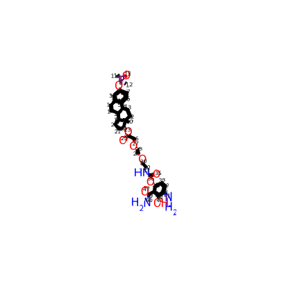 CC12CCC3c4ccc(OP(C)(C)=O)cc4CCC3C1CCC2OC(=O)COCCOCCNC(=O)Oc1ccc(N)c(O)c1C(N)=O